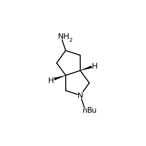 CCCCN1C[C@H]2CC(N)C[C@H]2C1